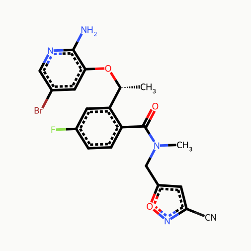 C[C@@H](Oc1cc(Br)cnc1N)c1cc(F)ccc1C(=O)N(C)Cc1cc(C#N)no1